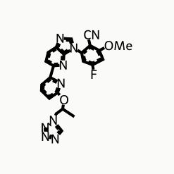 COc1cc(F)cc(-n2cnc3ccc(-c4cccc(OC(C)Cn5cnnn5)n4)nc32)c1C#N